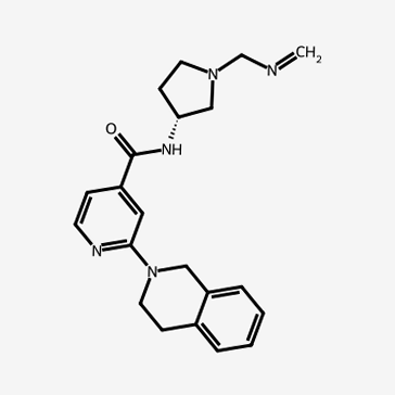 C=NCN1CC[C@@H](NC(=O)c2ccnc(N3CCc4ccccc4C3)c2)C1